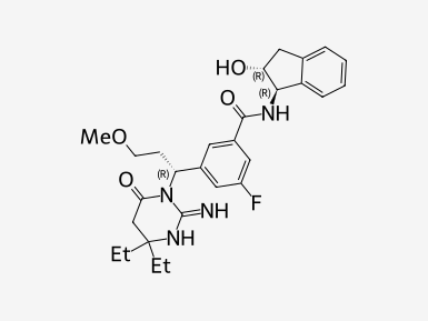 CCC1(CC)CC(=O)N([C@H](CCOC)c2cc(F)cc(C(=O)N[C@@H]3c4ccccc4C[C@H]3O)c2)C(=N)N1